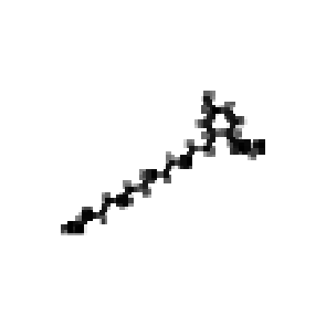 CCCCOCCOCCOCCOCCc1cc(C)ccc1S(=O)(=O)O